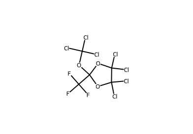 FC(F)(F)C1(OC(Cl)(Cl)Cl)OC(Cl)(Cl)C(Cl)(Cl)O1